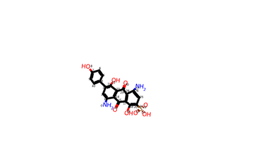 Nc1cc(-c2ccc(O)cc2)c(O)c2c1C(=O)c1c(O)c(S(=O)(=O)O)cc(N)c1C2=O